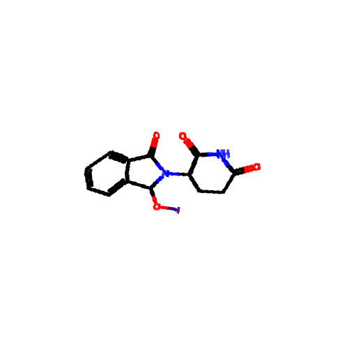 O=C1CCC(N2C(=O)c3ccccc3C2OI)C(=O)N1